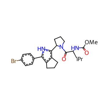 COC(=O)NC(C(=O)N1CCCC1c1[nH]c(-c2ccc(Br)cc2)c2c1CCC2)C(C)C